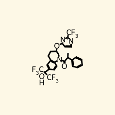 CC(C(=O)N1CC(Oc2ccnc(C(F)(F)F)n2)CCc2cc(C(O)(C(F)(F)F)C(F)(F)F)ccc21)c1ccccc1